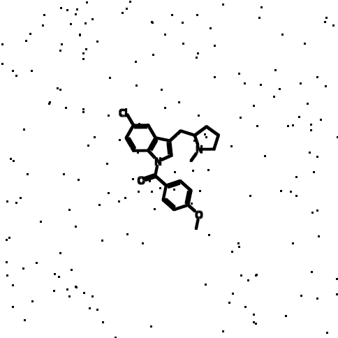 COc1ccc(C(=O)n2cc(CC3CCCN3C)c3cc(Cl)ccc32)cc1